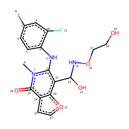 Cn1c(Nc2ccc(I)cc2F)c(C(O)NOCCO)c2occc2c1=O